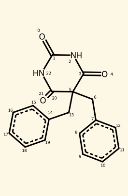 O=C1NC(=O)C(Cc2ccccc2)(Cc2ccccc2)C(=O)N1